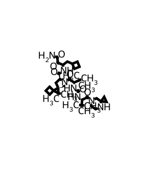 CC(C)(C)[C@H](NC(=O)N[C@H](C(=O)N1C[C@]2(C[C@H]1C(=O)NC(CC1CCC1)C(=O)C(N)=O)C(C)(C)C21CCC1)C(C)(C)C)C(=O)N1CCNC2(CC2)C1